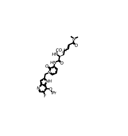 CC(C)Oc1c(F)cnc2cc(Cn3cccc(NC(=O)[C@H](CC/C=C/C(=O)N(C)C)NC(=O)O)c3=O)[nH]c12